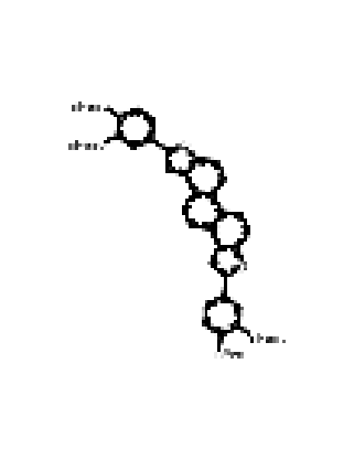 CCCCCc1ccc(-c2cc3c(ccc4c3ccc3c5cc(-c6ccc(CCCCC)c(CCCCC)c6)oc5ccc34)o2)cc1CCCCC